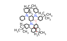 CC1(C)Cc2cc3c(cc2C1)N(c1ccc(C(C)(C)C)cc1-c1ccccc1)c1cc(N(c2ccccc2)c2ccccc2)cc2c1B3c1ccc(C(C)(C)C)cc1N2c1cccc(C(C)(C)C)c1